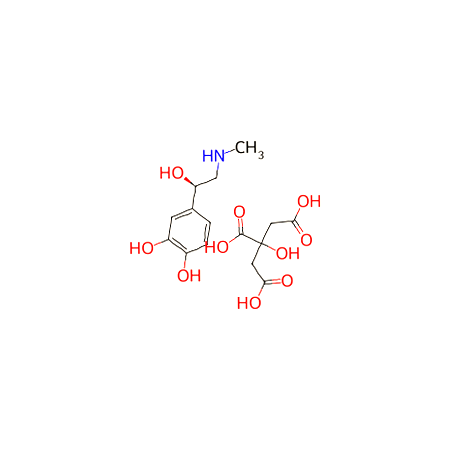 CNC[C@H](O)c1ccc(O)c(O)c1.O=C(O)CC(O)(CC(=O)O)C(=O)O